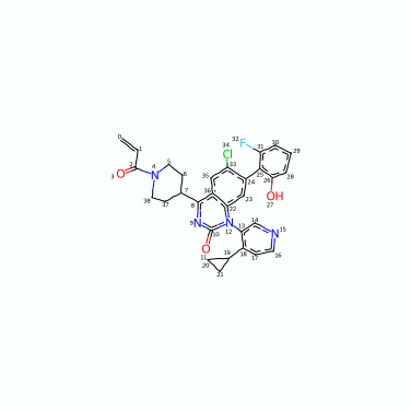 C=CC(=O)N1CCC(c2nc(=O)n(-c3cnccc3C3CC3)c3cc(-c4c(O)cccc4F)c(Cl)cc23)CC1